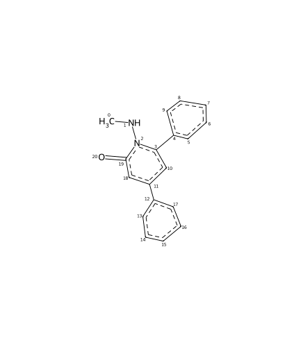 CNn1c(-c2ccccc2)cc(-c2ccccc2)cc1=O